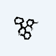 Fc1cccc(-c2c(-c3ccccc3)cnc3ccccc23)c1F